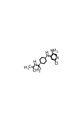 CC(C)NC(=O)[C@H]1CC[C@@H](Nc2cc(Cl)ncc2N)CC1